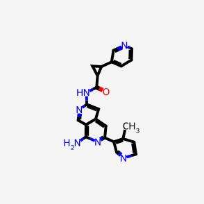 Cc1ccncc1-c1cc2cc(NC(=O)C3CC3c3cccnc3)ncc2c(N)n1